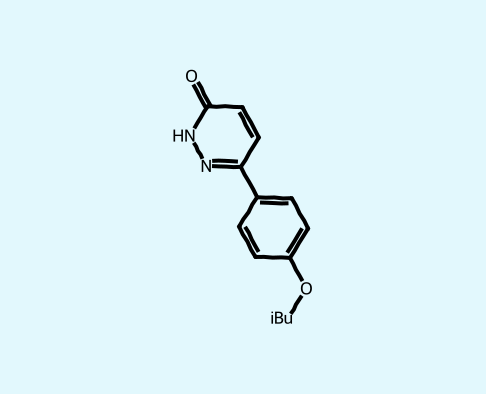 CCC(C)Oc1ccc(-c2ccc(=O)[nH]n2)cc1